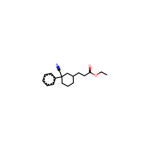 CCOC(=O)CCC1CCCC(C#N)(c2ccccc2)C1